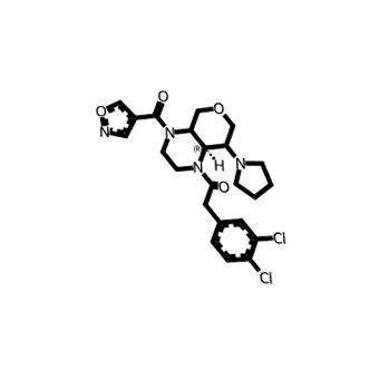 O=C(c1cnoc1)N1CCN(C(=O)Cc2ccc(Cl)c(Cl)c2)[C@@H]2C(N3CCCC3)COCC21